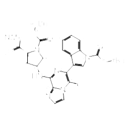 CNC(=O)[C@@H]1C[C@H](Nc2nc(-c3cn(C(=O)OC(C)(C)C)c4ccccc34)c(Cl)n3ccnc23)CN1C(=O)OC(C)(C)C